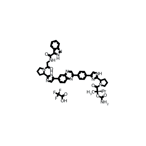 CC(C)[C@](C)(OC(N)=O)C(=O)N1CCCC1c1nc(-c2ccc(-c3cnc4cc(-c5cnc(C6CCCN6C(=O)CNC(=O)c6[nH]nc7ccccc67)[nH]5)ccc4n3)cc2)c[nH]1.O=C(O)C(F)(F)F